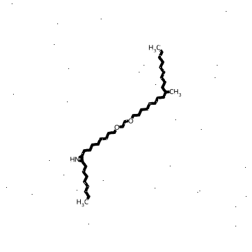 CCCCCCCCCC(C)CCCCCCCCOCCOCCCCCCCCC1NC1CCCCCCCC